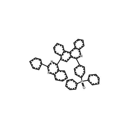 O=P(c1ccccc1)(c1ccccc1)c1ccc(-c2nc3ccccc3c3c2cc(-c2nc(-c4ccccc4)nc4ccccc24)c2ccccc23)cc1